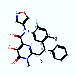 C[C@H](c1nc(C(=O)Nc2cnoc2)c(O)c(=O)n1C)[C@H](c1ccccc1)c1ccc(F)cc1C#N